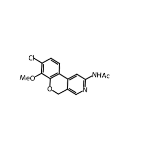 COc1c(Cl)ccc2c1OCc1cnc(NC(C)=O)cc1-2